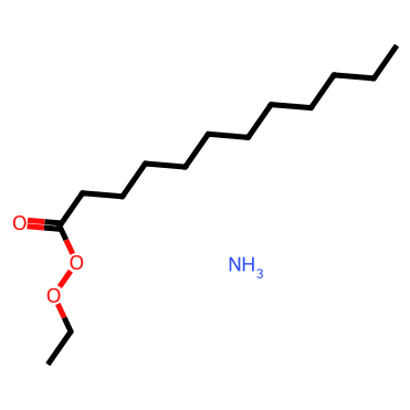 CCCCCCCCCCCC(=O)OOCC.N